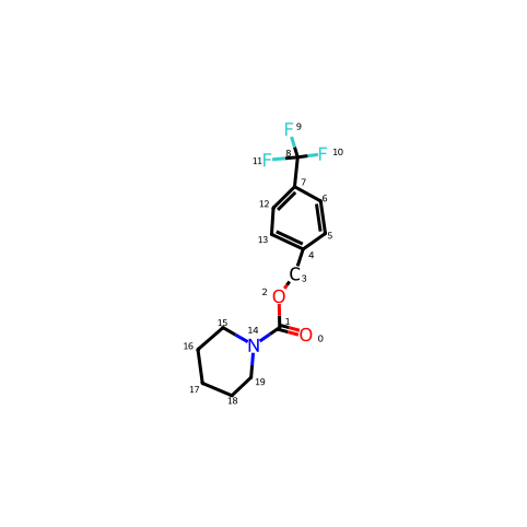 O=C(OCc1ccc(C(F)(F)F)cc1)N1CCCCC1